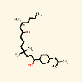 CCCC[C@@H](C)CC(O)CCCC(C)(C)CCC(O)C1CCC(CC(C)C)CC1